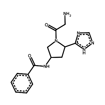 NCC(=O)N1CC(NC(=O)c2ccccc2)CC1c1ncn[nH]1